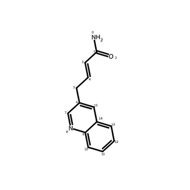 NC(=O)/C=C/Cc1cnc2ccccc2c1